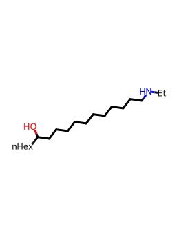 CCCCCCC(O)CCCCCCCCCCCNCC